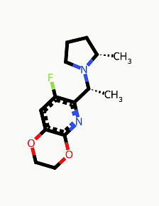 C[C@H](c1nc2c(cc1F)OCCO2)N1CCC[C@@H]1C